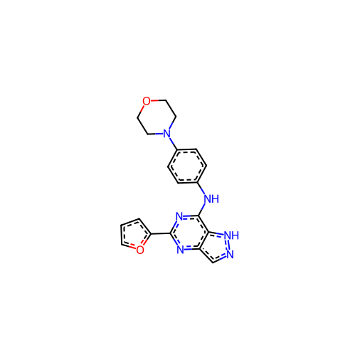 c1coc(-c2nc(Nc3ccc(N4CCOCC4)cc3)c3[nH]ncc3n2)c1